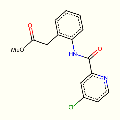 COC(=O)Cc1ccccc1NC(=O)c1cc(Cl)ccn1